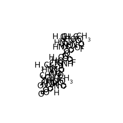 CCC1(CC)CC(=O)N([C@@H]2CC(CC3(C)Oc4ccccc4[C@@H](NC(=O)c4ccc5c(c4)[C@H](N4C(=N)NC(CC)(CC)CC4=O)CC4(COC4)O5)[C@@H]3O)Oc3ccc(C(=O)N[C@@H]4c5cc(F)ccc5OC(C)(CC5C[C@@H](N6C(=N)NC(CC)(CC)CC6=O)c6cc(C(=O)N[C@H]7c8cc(F)ccc8OC(C)(C)[C@@H]7O)ccc6O5)[C@H]4O)cc32)C(=N)N1